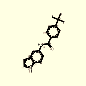 CC(C)(C)c1ccc(C(=O)Nc2ccc3[nH]ccc3c2)cc1